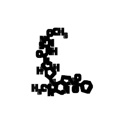 COc1nsc(NC(=O)N2C[C@H]3CC(n4c(C)nc5cnc6c(ccn6S(=O)(=O)c6ccccc6)c54)C[C@H]3C2)n1